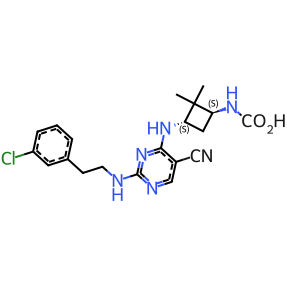 CC1(C)[C@@H](NC(=O)O)C[C@@H]1Nc1nc(NCCc2cccc(Cl)c2)ncc1C#N